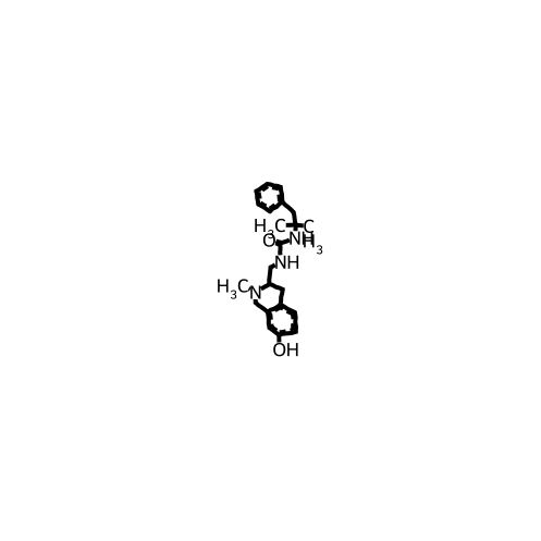 CN1Cc2cc(O)ccc2CC1CNC(=O)NC(C)(C)Cc1ccccc1